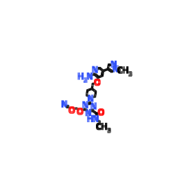 CCNC(=O)c1nc(OCOC#N)nc(N2CCC(COc3cc(-c4cnn(C)c4)cnc3N)CC2)n1